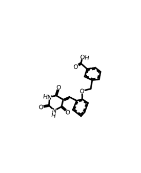 O=C1NC(=O)C(=Cc2ccccc2OCc2cccc(C(=O)O)c2)C(=O)N1